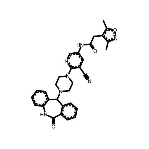 Cc1noc(C)c1CC(=O)Nc1cnc(N2CCN(C3c4ccccc4NC(=O)c4ccccc43)CC2)c(C#N)c1